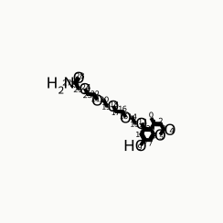 Cc1cc(=O)oc2cc(O)cc(OCCOCCOCCOCCOCC(N)=O)c12